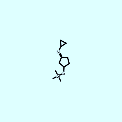 C[Si](C)(C)SC1CC/C(=N\C2CC2)C1